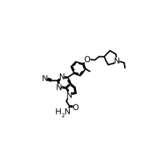 CCN1CCC(CCOc2ccc(-c3nc(C#N)nc4c3ccn4CC(N)=O)cc2C)CC1